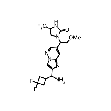 COCC(c1cnn2cc(C(N)C3CC(F)(F)C3)nc2c1)N1C[C@@H](C(F)(F)F)NC1=O